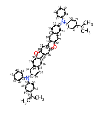 CC(C)C1=CCC(N(c2ccccc2)c2ccc3cc4c(cc3c2)oc2cc3c(cc24)oc2cc4c(cc23)C=CC(N(c2ccccc2)c2ccc(C(C)C)cc2)C4)C=C1